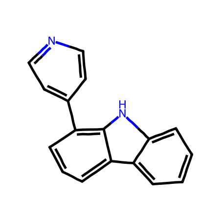 c1ccc2c(c1)[nH]c1c(-c3ccncc3)cccc12